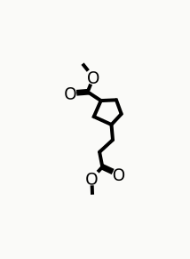 COC(=O)CCC1CCC(C(=O)OC)C1